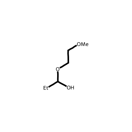 CCC(O)OCCOC